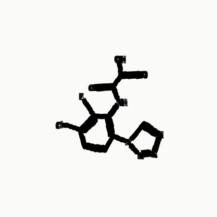 O=C(O)C(=O)Nc1c(-n2cnnn2)ccc(Cl)c1F